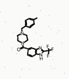 Cc1ccc(CN2CCN(C(=O)c3ccc4[nH]c(C(F)(F)F)nc4c3)CC2)cc1